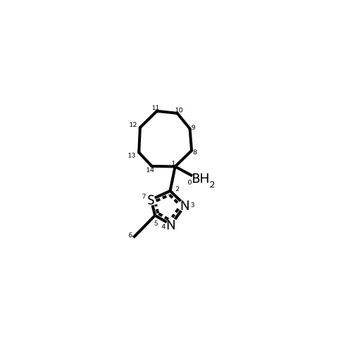 BC1(c2nnc(C)s2)CCCCCCC1